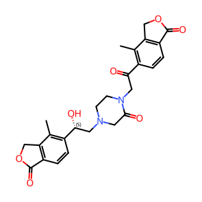 Cc1c(C(=O)CN2CCN(C[C@@H](O)c3ccc4c(c3C)COC4=O)CC2=O)ccc2c1COC2=O